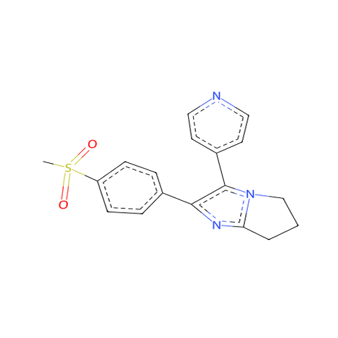 CS(=O)(=O)c1ccc(-c2nc3n(c2-c2ccncc2)CCC3)cc1